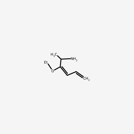 C=C/C=C(/OCC)C(C)N